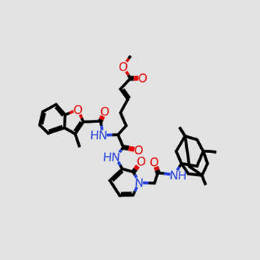 COC(=O)/C=C/CCC(NC(=O)c1oc2ccccc2c1C)C(=O)Nc1cccn(CC(=O)NC23CC4(C)CC(C)(CC(C)(C4)C2)C3)c1=O